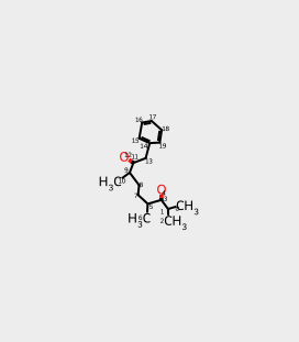 CC(C)C(=O)C(C)CCC(C)C(=O)Cc1ccccc1